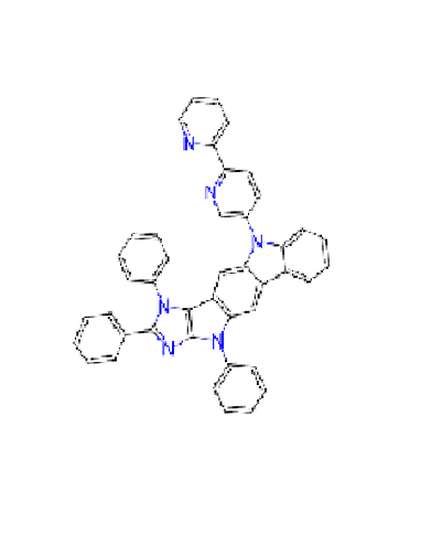 c1ccc(-c2nc3c(c4cc5c(cc4n3-c3ccccc3)c3ccccc3n5-c3ccc(-c4ccccn4)nc3)n2-c2ccccc2)cc1